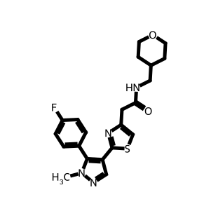 Cn1ncc(-c2nc(CC(=O)NCC3CCOCC3)cs2)c1-c1ccc(F)cc1